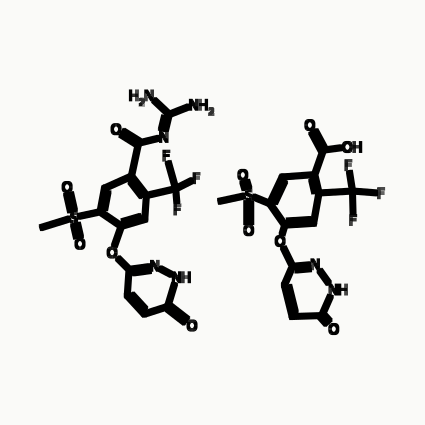 CS(=O)(=O)c1cc(C(=O)N=C(N)N)c(C(F)(F)F)cc1Oc1ccc(=O)[nH]n1.CS(=O)(=O)c1cc(C(=O)O)c(C(F)(F)F)cc1Oc1ccc(=O)[nH]n1